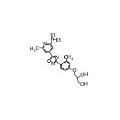 CCN(CC)c1cc(-c2nc(-c3ccc(OCC(O)CO)cc3C)no2)cc(C)n1